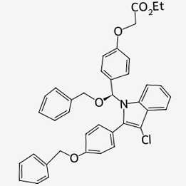 CCOC(=O)COc1ccc([C@H](OCc2ccccc2)n2c(-c3ccc(OCc4ccccc4)cc3)c(Cl)c3ccccc32)cc1